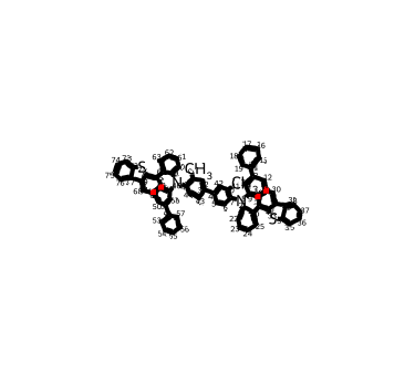 Cc1cc(-c2ccc(N(c3cccc(-c4ccccc4)c3)c3ccccc3-c3cccc4c3sc3ccccc34)c(C)c2)ccc1N(c1cccc(-c2ccccc2)c1)c1ccccc1-c1cccc2c1sc1ccccc12